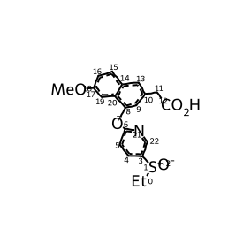 CC[S+]([O-])c1ccc(Oc2cc(CC(=O)O)cc3ccc(OC)cc23)nc1